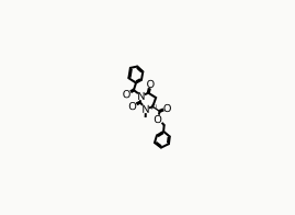 CN1C(=O)N(C(=O)c2ccccc2)C(=O)C[C@H]1C(=O)OCc1ccccc1